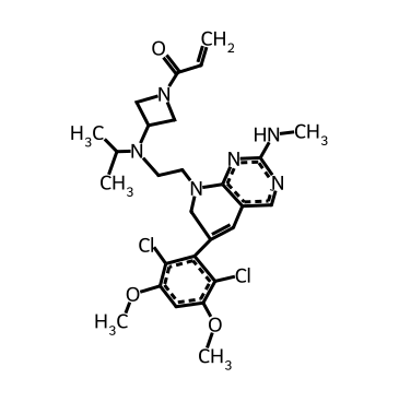 C=CC(=O)N1CC(N(CCN2CC(c3c(Cl)c(OC)cc(OC)c3Cl)=Cc3cnc(NC)nc32)C(C)C)C1